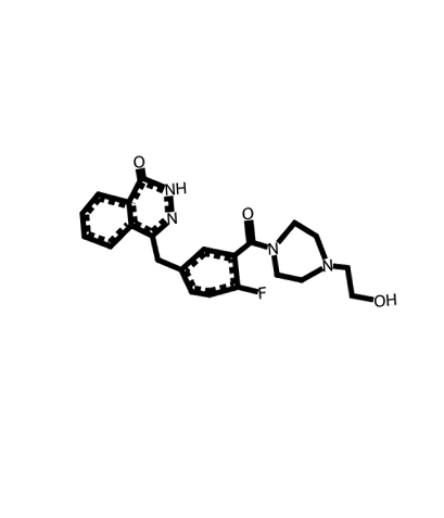 O=C(c1cc(Cc2n[nH]c(=O)c3ccccc23)ccc1F)N1CCN(CCO)CC1